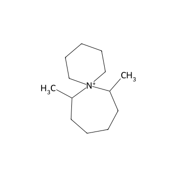 CC1CCCCC(C)[N+]12CCCCC2